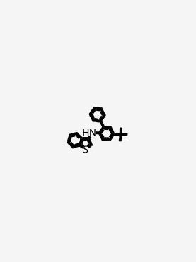 CC(C)(C)c1ccc(Nc2csc3ccccc23)c(-c2ccccc2)c1